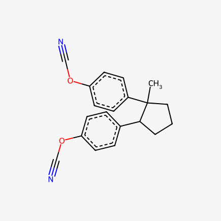 CC1(c2ccc(OC#N)cc2)CCCC1c1ccc(OC#N)cc1